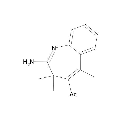 CC(=O)C1=C(C)c2ccccc2N=C(N)C1(C)C